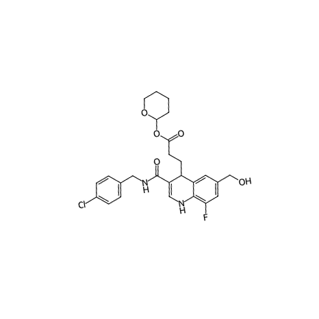 O=C(CCC1C(C(=O)NCc2ccc(Cl)cc2)=CNc2c(F)cc(CO)cc21)OC1CCCCO1